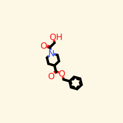 O=C(OCc1ccccc1)C1CCN(C(=O)CO)CC1